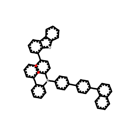 c1ccc(-c2ccccc2N(c2ccc(-c3ccc(-c4cccc5ccccc45)cc3)cc2)c2ccc(-c3cccc4c3oc3ccccc34)cc2)cc1